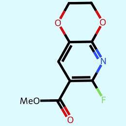 COC(=O)c1cc2c(nc1F)OCCO2